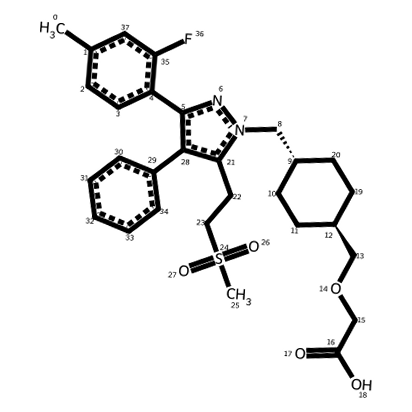 Cc1ccc(-c2nn(C[C@H]3CC[C@H](COCC(=O)O)CC3)c(CCS(C)(=O)=O)c2-c2ccccc2)c(F)c1